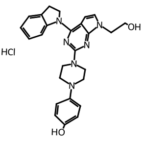 Cl.OCCn1ccc2c(N3CCc4ccccc43)nc(N3CCN(c4ccc(O)cc4)CC3)nc21